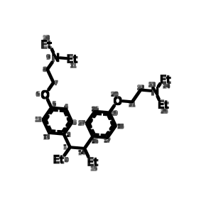 CCC(c1ccc(OCCN(CC)CC)cc1)C(CC)c1ccc(OCCN(CC)CC)cc1